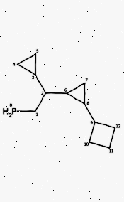 PCC(C1CC1)C1CC1C1CCC1